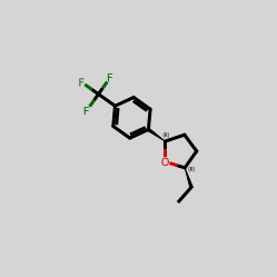 CC[C@@H]1CC[C@H](c2ccc(C(F)(F)F)cc2)O1